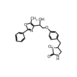 Cc1oc(-c2ccccc2)nc1C(O)COc1ccc(CC2CNC(=O)[S+]2[O-])cc1